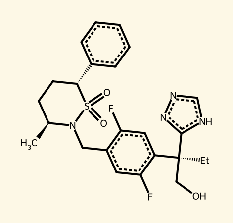 CC[C@@](CO)(c1nnc[nH]1)c1cc(F)c(CN2[C@@H](C)CC[C@H](c3ccccc3)S2(=O)=O)cc1F